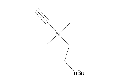 C#C[Si](C)(C)CCCCCC